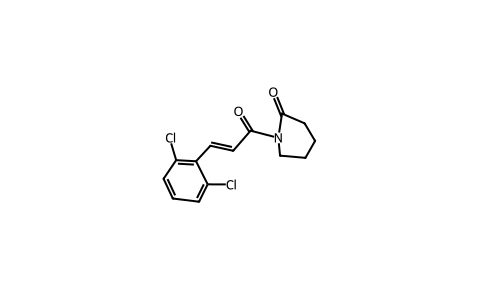 O=C(C=Cc1c(Cl)cccc1Cl)N1CCCCC1=O